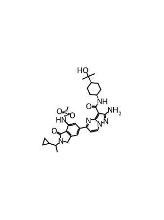 CC(C1CC1)N1Cc2cc(-c3ccn4nc(N)c(C(=O)N[C@H]5CC[C@H](C(C)(C)O)CC5)c4n3)cc(NS(C)(=O)=O)c2C1=O